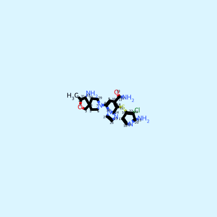 CC1OCC2(CCN(c3cc(C(N)=O)c(Sc4ccnc(N)c4Cl)c4nccn34)CC2)[C@@H]1N